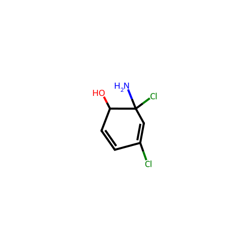 NC1(Cl)C=C(Cl)C=CC1O